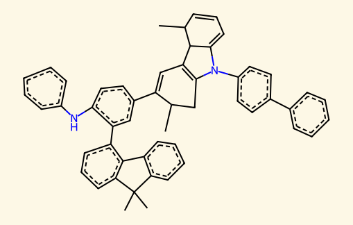 CC1CC2=C(C=C1c1ccc(Nc3ccccc3)c(-c3cccc4c3-c3ccccc3C4(C)C)c1)C1C(=CC=CC1C)N2c1ccc(-c2ccccc2)cc1